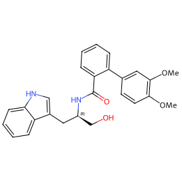 COc1ccc(-c2ccccc2C(=O)N[C@@H](CO)Cc2c[nH]c3ccccc23)cc1OC